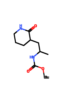 CC(CC1CCCNC1=O)NC(=O)OC(C)(C)C